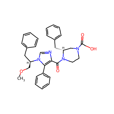 COC[C@@H](Cc1ccccc1)n1cnc(C(=O)N2CCN(C(=O)O)C[C@H]2Cc2ccccc2)c1-c1ccccc1